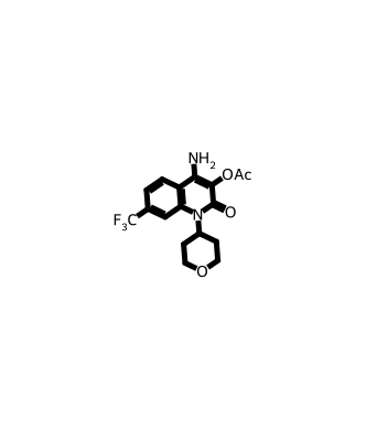 CC(=O)Oc1c(N)c2ccc(C(F)(F)F)cc2n(C2CCOCC2)c1=O